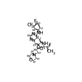 C=C(F)C(=O)Nc1cc2c(Nc3ccc(F)c(Cl)c3)ncnc2cc1OCCN1CCOCC1